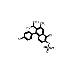 CCc1c(OS(=O)(=O)C(F)(F)F)ccc2c(-c3ccc(Cl)cc3)c(C(O)C(=O)O)c(C)cc12